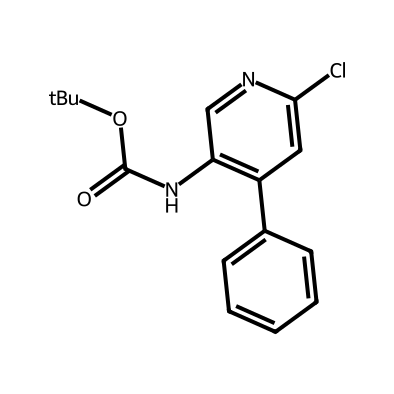 CC(C)(C)OC(=O)Nc1cnc(Cl)cc1-c1ccccc1